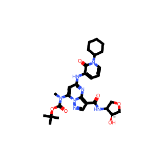 CN(C(=O)OC(C)(C)C)c1cc(Nc2cccn(C3CCCCC3)c2=O)nc2c(C(=O)NC3COC[C@H]3O)cnn12